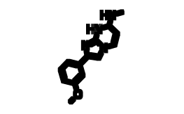 CNC1C=Cn2cc(-c3cccc(OC)c3)nc2N1